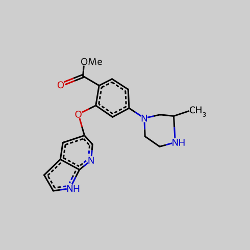 COC(=O)c1ccc(N2CCNC(C)C2)cc1Oc1cnc2[nH]ccc2c1